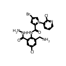 NCc1cc(Cl)cc(C(=O)NN)c1NC(=O)c1cc(Br)cn1-c1cccnc1Cl